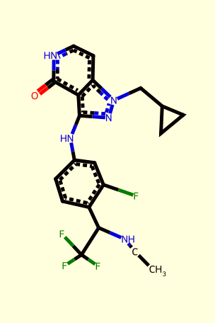 CCNC(c1ccc(Nc2nn(CC3CC3)c3cc[nH]c(=O)c23)cc1F)C(F)(F)F